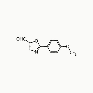 O=Cc1cnc(-c2ccc(OC(F)(F)F)cc2)o1